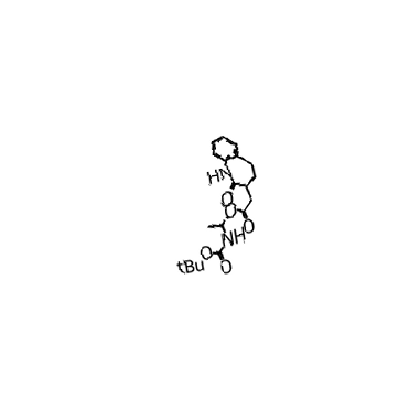 CC(NC(=O)OC(C)(C)C)OC(=O)CC1CCc2ccccc2NC1=O